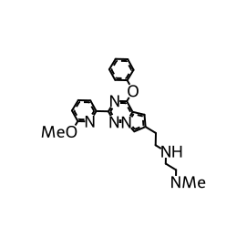 CNCCNCCc1cc2c(Oc3ccccc3)nc(-c3cccc(OC)n3)nn2c1